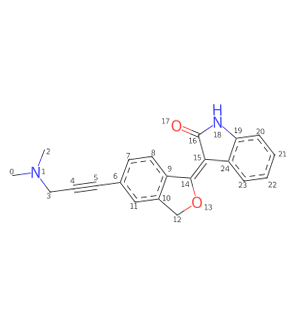 CN(C)CC#Cc1ccc2c(c1)CO/C2=C1/C(=O)Nc2ccccc21